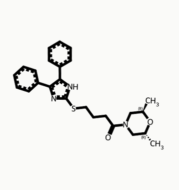 C[C@@H]1CN(C(=O)CCCSc2nc(-c3ccccc3)c(-c3ccccc3)[nH]2)C[C@@H](C)O1